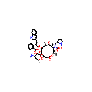 CC[C@H]1OC(=O)[C@H](C)C(=O)[C@H](C)[C@@H](O[C@]2(OC(=O)c3ccccc3)CO[C@H](C)C[C@@H]2N(C)C)[C@](C)(OC/C=C/c2cnc3ccccc3c2)C[C@@H](C)C(=O)[C@H](C)[C@H]2N(C[C@H]3CCCN3CC)C(=O)O[C@]12C